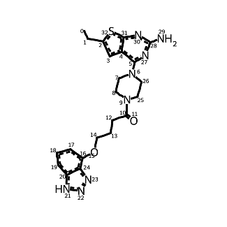 CCc1cc2c(N3CCN(C(=O)CCCOc4cccc5[nH]nnc45)CC3)nc(N)nc2s1